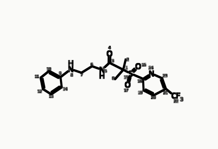 CC(C)(C(=O)NCCNc1ccccc1)S(=O)(=O)c1ccc(C(F)(F)F)cn1